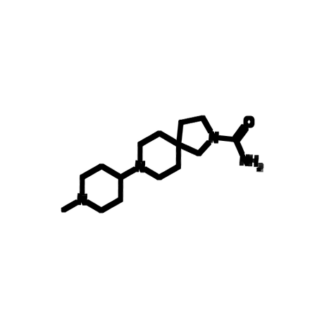 CN1CCC(N2CCC3(CCN(C(N)=O)C3)CC2)CC1